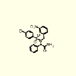 NC(=O)[C@@H](c1ccccc1)N(Cc1cccc([N+](=O)[O-])c1)S(=O)(=O)c1ccc(Cl)cc1